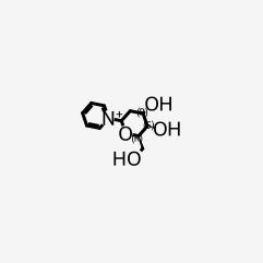 OC[C@H]1OC([n+]2ccccc2)C[C@@H](O)[C@@H]1O